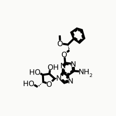 CO[C@@H](COc1nc(N)c2ncn([C@@H]3O[C@H](CO)C(O)C3O)c2n1)c1ccccc1